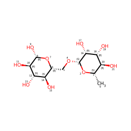 C[C@@H]1O[C@H](OC[C@H]2O[C@@H](O)[C@H](O)[C@@H](O)[C@@H]2O)[C@H](O)[C@H](O)[C@H]1O